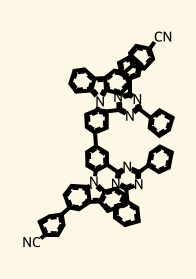 N#Cc1ccc(-c2ccc3c(c2)c2ccccc2n3-c2ccc(-c3ccc(-n4c5ccccc5c5cc(-c6ccc(C#N)cc6)ccc54)c(-c4nc(-c5ccccc5)nc(-c5ccccc5)n4)c3)cc2-c2nc(-c3ccccc3)nc(-c3ccccc3)n2)cc1